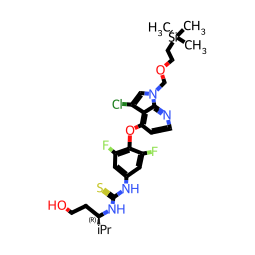 CC(C)[C@@H](CCO)NC(=S)Nc1cc(F)c(Oc2ccnc3c2c(Cl)cn3COCC[Si](C)(C)C)c(F)c1